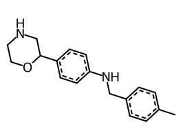 Cc1ccc(CNc2ccc(C3CNCCO3)cc2)cc1